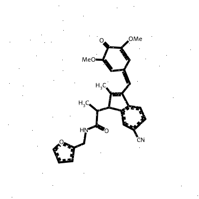 COC1=CC(=CC2=C(C)C(C(C)C(=O)NCc3ccco3)c3cc(C#N)ccc32)C=C(OC)C1=O